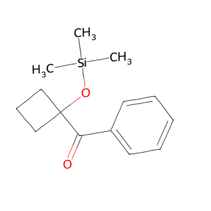 C[Si](C)(C)OC1(C(=O)c2ccccc2)CCC1